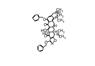 CNCc1cc(OCc2ccccc2)c2c(c1N(C)C)C[C@H]1C[C@H]3[C@H](N(C)C)c4onc(OCc5ccccc5)c4C(=O)[C@@]3(O)C(O)=C1C2=O